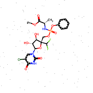 CC(C)OC(=O)[C@H](C)NP(=O)(OC[C@@]1(C(F)F)O[C@@H](n2cc(Cl)c(=O)[nH]c2=O)[C@H](O)[C@H]1O)Oc1ccccc1